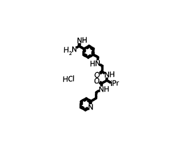 CC(C)C(NC(=O)CNCc1ccc(C(=N)N)cc1)C(=O)NCCc1ccccn1.Cl